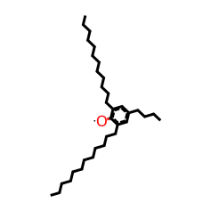 CCCCCCCCCCCCc1cc(CCCC)cc(CCCCCCCCCCCC)c1[O]